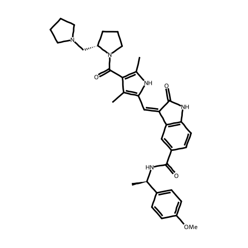 COc1ccc([C@@H](C)NC(=O)c2ccc3c(c2)/C(=C/c2[nH]c(C)c(C(=O)N4CCC[C@H]4CN4CCCC4)c2C)C(=O)N3)cc1